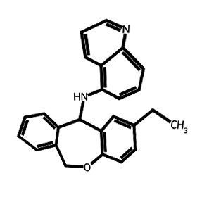 CCc1ccc2c(c1)C(Nc1cccc3ncccc13)c1ccccc1CO2